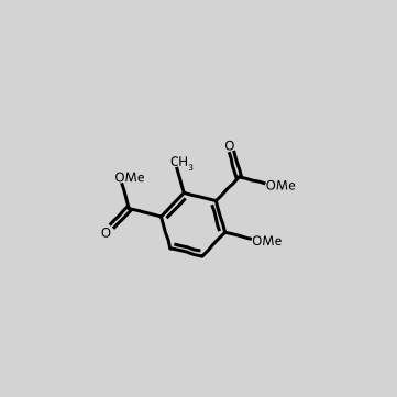 [CH2]Oc1ccc(C(=O)OC)c(C)c1C(=O)OC